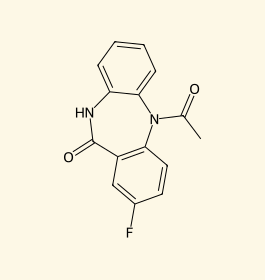 CC(=O)N1c2ccccc2NC(=O)c2cc(F)ccc21